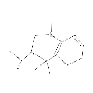 CC(C)C1CN(C)C2=C(CCC=C2)C1(C)C